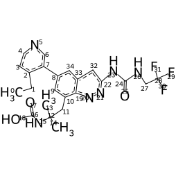 CCc1ccncc1-c1cc(CC(C)(C)NC(=O)O)c2nnc(NC(=O)NCC(F)(F)F)cc2c1